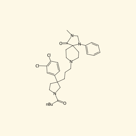 CCCCC(=O)N1CCC(CCCN2CCC3(CC2)C(=O)N(C)CN3c2ccccc2)(c2ccc(Cl)c(Cl)c2)C1